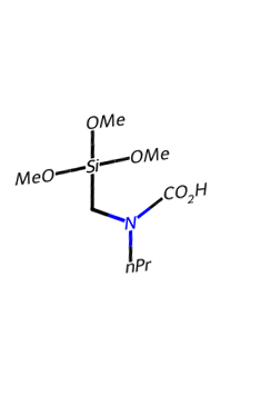 CCCN(C[Si](OC)(OC)OC)C(=O)O